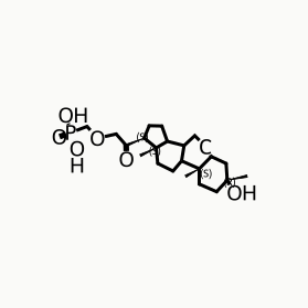 C[C@@]1(O)CC[C@@]2(C)C(CCC3C2CC[C@@]2(C)C3CC[C@@H]2C(=O)COCP(=O)(O)O)C1